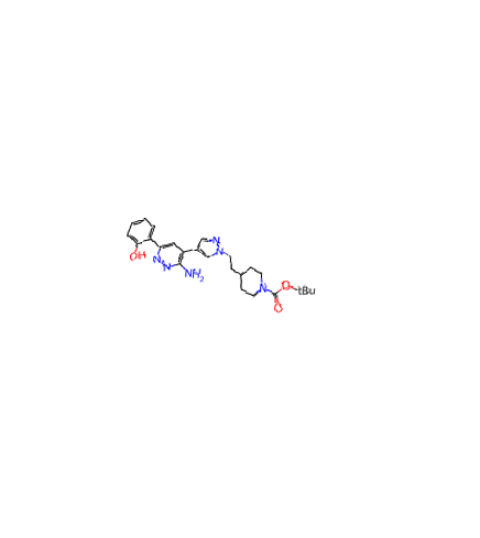 CC(C)(C)OC(=O)N1CCC(CCn2cc(-c3cc(-c4ccccc4O)nnc3N)cn2)CC1